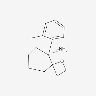 Cc1ccccc1[C@]1(N)CCCCC12CCO2